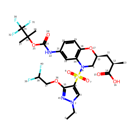 CCn1cc(S(=O)(=O)N2C[C@H](C[C@@H](C)C(=O)O)Oc3ccc(NC(=O)OC(C)(C)C(F)(F)F)cc32)c(OCC(F)F)n1